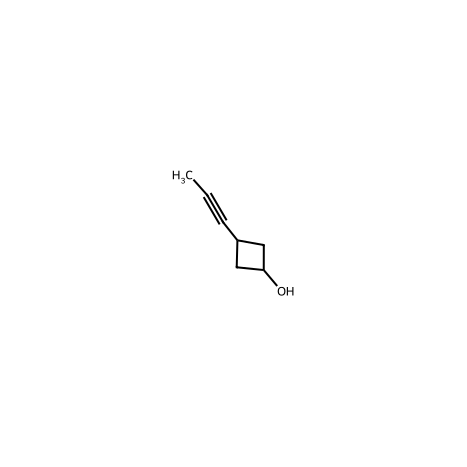 CC#CC1CC(O)C1